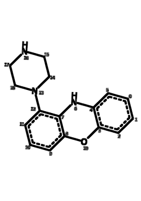 c1ccc2c(c1)Nc1c(cccc1N1CCNCC1)O2